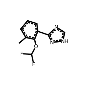 Cc1cccc(-c2nc[nH]n2)c1OC(F)F